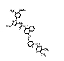 COc1ccc(-n2nc(C(C)(C)C)cc2NC(=O)Nc2ccc(OCc3ccnc(Nc4cnc(C)c(C)n4)c3)c3ccccc23)cc1C